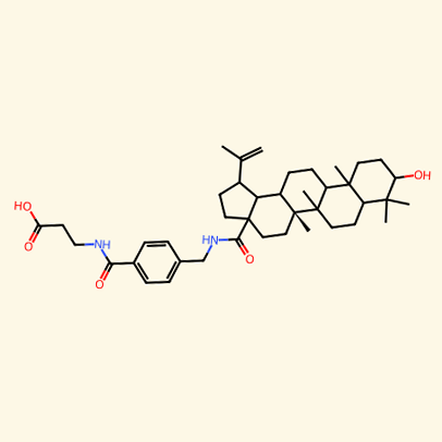 C=C(C)C1CCC2(C(=O)NCc3ccc(C(=O)NCCC(=O)O)cc3)CC[C@]3(C)C(CCC4C5(C)CCC(O)C(C)(C)C5CCC43C)C12